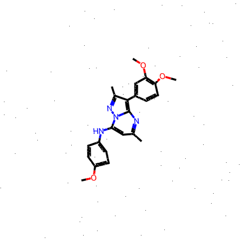 COc1ccc(Nc2cc(C)nc3c(-c4ccc(OC)c(OC)c4)c(C)nn23)cc1